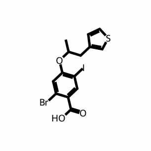 CC(Cc1ccsc1)Oc1cc(Br)c(C(=O)O)cc1I